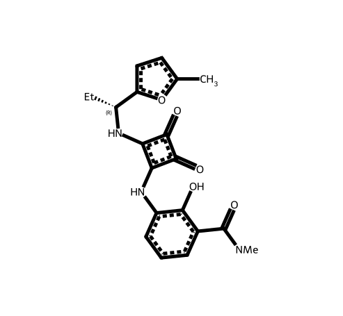 CC[C@@H](Nc1c(Nc2cccc(C(=O)NC)c2O)c(=O)c1=O)c1ccc(C)o1